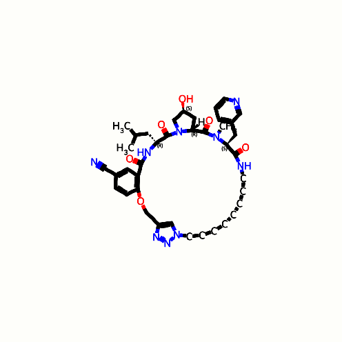 CC(C)C[C@H]1NC(=O)c2cc(C#N)ccc2OCc2cn(nn2)CCCCCCCCNC(=O)[C@H](Cc2cccnc2)N(C)C(=O)[C@H]2C[C@H](O)CN2C1=O